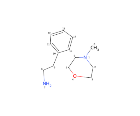 CN1CCOCC1.NCCc1ccccc1